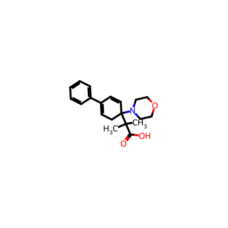 CC(C)(C(=O)O)C1(N2CCOCC2)C=CC(c2ccccc2)=CC1